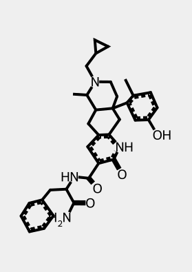 Cc1ccc(O)cc1C12CCN(CC3CC3)C(C)C1Cc1cc(C(=O)NC(Cc3ccccc3)C(N)=O)c(=O)[nH]c1C2